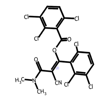 CN(C)C(=O)/C(C#N)=C(\OC(=O)c1c(Cl)ccc(Cl)c1Cl)c1c(Cl)ccc(Cl)c1Cl